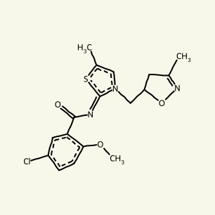 COc1ccc(Cl)cc1C(=O)N=c1sc(C)cn1CC1CC(C)=NO1